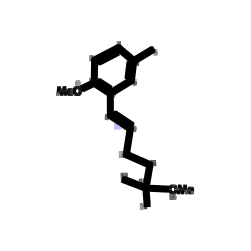 COc1ccc(C)cc1/C=C/CCC(C)(C)OC